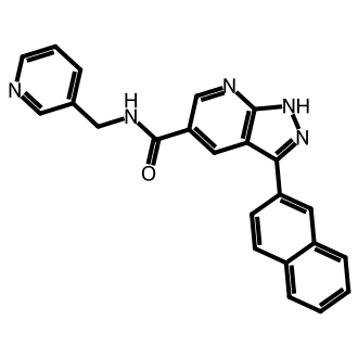 O=C(NCc1cccnc1)c1cnc2[nH]nc(-c3ccc4ccccc4c3)c2c1